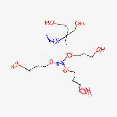 CC(N)(CO)CO.OCCCON(OCCCO)OCCCO